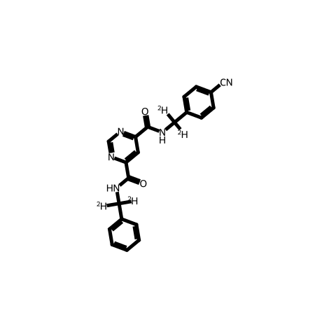 [2H]C([2H])(NC(=O)c1cc(C(=O)NC([2H])([2H])c2ccc(C#N)cc2)ncn1)c1ccccc1